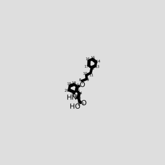 O=C(O)c1cc2c(OCCCCc3ccccc3)cccc2[nH]1